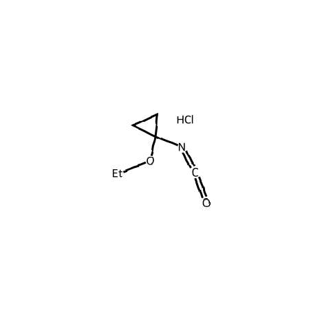 CCOC1(N=C=O)CC1.Cl